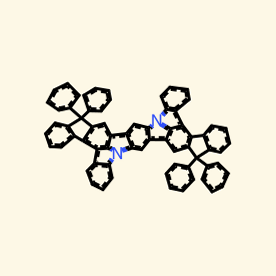 c1ccc(C2(c3ccccc3)c3ccccc3-c3c2cc2c4cc5c(cc4n4c6ccccc6c3c24)c2cc3c(c4c6ccccc6n5c24)-c2ccccc2C3(c2ccccc2)c2ccccc2)cc1